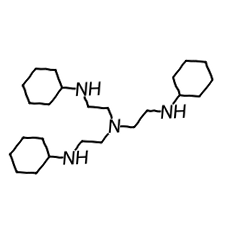 C1CCC(NCCN(CCNC2CCCCC2)CCNC2CCCCC2)CC1